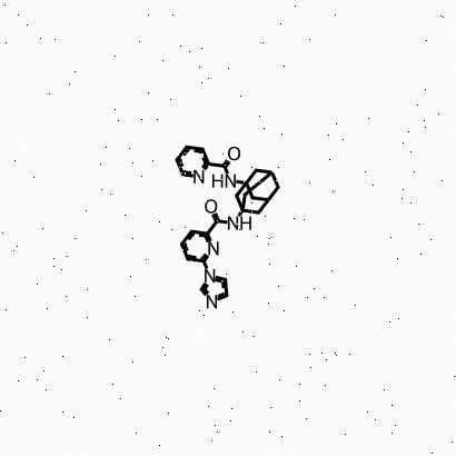 O=C(NC12CC3CC(C1)CC(NC(=O)c1cccc(-n4ccnc4)n1)(C3)C2)c1ccccn1